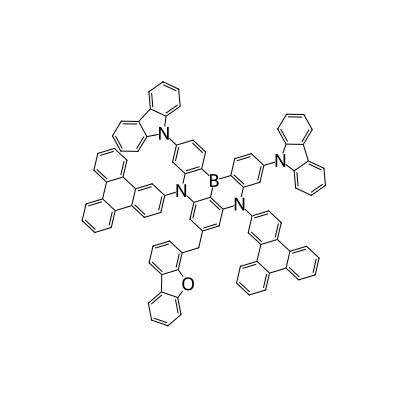 c1ccc2c(c1)oc1c(Cc3cc4c5c(c3)N(c3ccc6c7ccccc7c7ccccc7c6c3)c3cc(-n6c7ccccc7c7ccccc76)ccc3B5c3ccc(-n5c6ccccc6c6ccccc65)cc3N4c3ccc4c5ccccc5c5ccccc5c4c3)cccc12